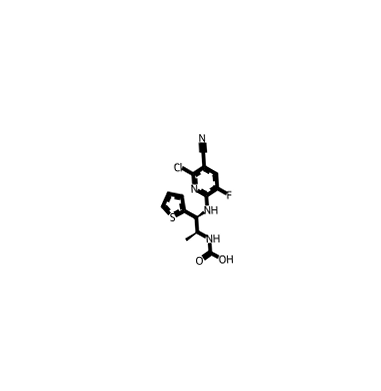 C[C@H](NC(=O)O)[C@H](Nc1nc(Cl)c(C#N)cc1F)c1cccs1